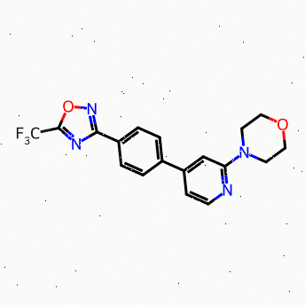 FC(F)(F)c1nc(-c2ccc(-c3ccnc(N4CCOCC4)c3)cc2)no1